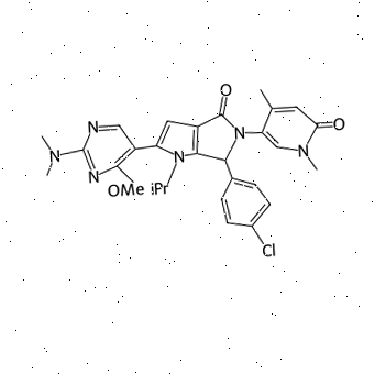 COc1nc(N(C)C)ncc1-c1cc2c(n1C(C)C)C(c1ccc(Cl)cc1)N(c1cn(C)c(=O)cc1C)C2=O